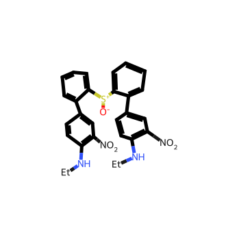 CCNc1ccc(-c2ccccc2[S+]([O-])c2ccccc2-c2ccc(NCC)c([N+](=O)[O-])c2)cc1[N+](=O)[O-]